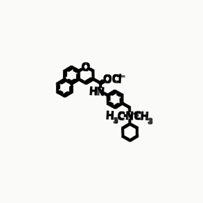 C[N+](C)(Cc1ccc(NC(=O)C2=Cc3c(ccc4ccccc34)OC2)cc1)C1CCCCC1.[Cl-]